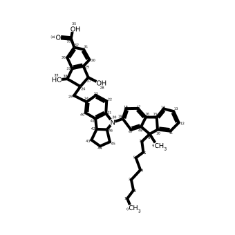 CCCCCCCCC1(C)c2ccccc2-c2ccc(N3c4ccc(CC5C(O)c6ccc(C(=O)O)cc6C5O)cc4C4CCCC43)cc21